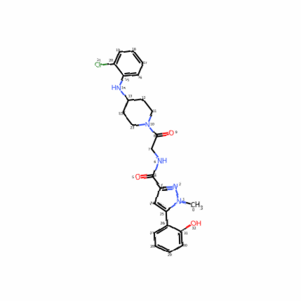 Cn1nc(C(=O)NCC(=O)N2CCC(Nc3ccccc3Cl)CC2)cc1-c1ccccc1O